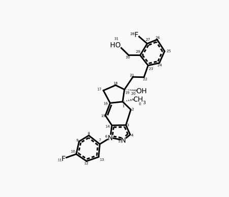 C[C@]12Cc3cnn(-c4ccc(F)cc4)c3C=C1CC[C@@]2(O)CCc1cccc(F)c1CO